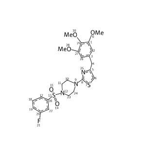 COc1cc(Cc2csc(N3CCN(S(=O)(=O)c4cccc(F)c4)CC3)n2)cc(OC)c1OC